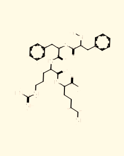 CC(C)NC(Cc1ccccc1)C(=O)NC(Cc1ccccc1)C(=O)NC(CCCNC(=N)N)C(=O)NC(CCCCN)C(=O)C(C)C